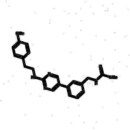 CNC(=O)NCc1cccc(-c2cnc(NCCc3ccc(OC)cc3)nc2)c1